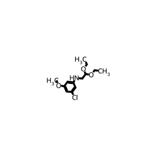 CCOC(CNc1cc(Cl)cc(OC)c1)OCC